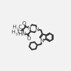 CC1(C)NC(=O)C2CN(Cc3cn(CC4CCCCC4)c4ccccc34)CCN2C1=O